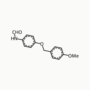 COc1ccc(COc2ccc(NC=O)cc2)cc1